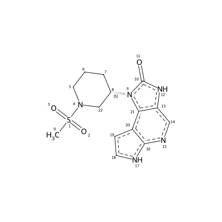 CS(=O)(=O)N1CCC[C@H](n2c(=O)[nH]c3cnc4[nH]ccc4c32)C1